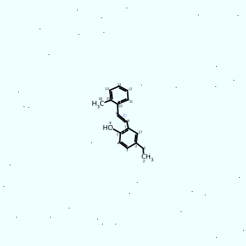 CCc1ccc(O)c(/C=C/c2ccccc2C)c1